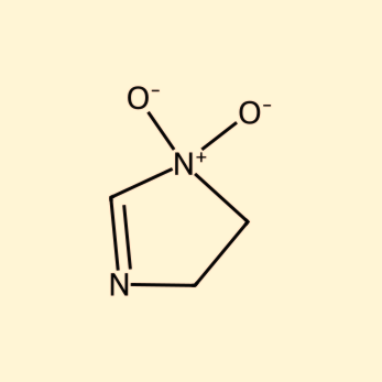 [O-][N+]1([O-])C=NCC1